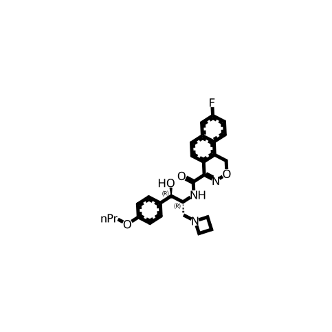 CCCOc1ccc([C@@H](O)[C@@H](CN2CCC2)NC(=O)C2=NOCc3c2ccc2cc(F)ccc32)cc1